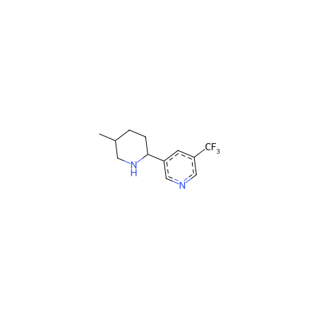 CC1CCC(c2cncc(C(F)(F)F)c2)NC1